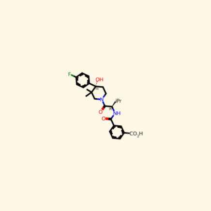 CC(C)[C@@H](NC(=O)c1cccc(C(=O)O)c1)C(=O)N1CC[C@](O)(c2ccc(F)cc2)C(C)(C)C1